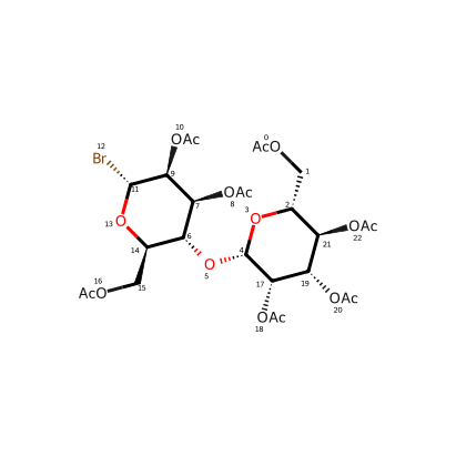 CC(=O)OC[C@H]1O[C@@H](O[C@H]2[C@H](OC(C)=O)[C@H](OC(C)=O)[C@@H](Br)O[C@@H]2COC(C)=O)[C@@H](OC(C)=O)[C@@H](OC(C)=O)[C@@H]1OC(C)=O